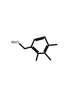 [CH2]OCc1ccc(C)c(C)c1C